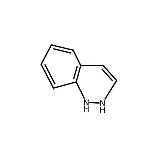 [c]1cccc2c1NNC=C2